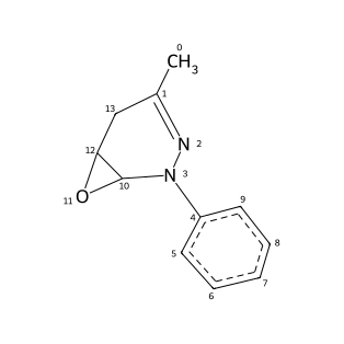 CC1=NN(c2ccccc2)C2OC2C1